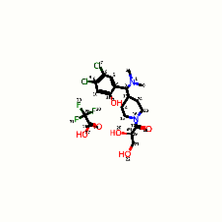 CN(C)C(c1cc(Cl)c(Cl)cc1O)C1CCN(C(=O)[C@H](O)CO)CC1.O=C(O)C(F)(F)F